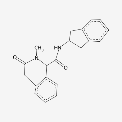 CN1C(=O)Cc2ccccc2C1C(=O)NC1Cc2ccccc2C1